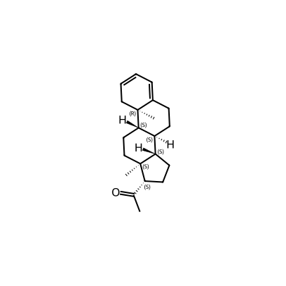 CC(=O)[C@H]1CC[C@H]2[C@@H]3CCC4=CC=CC[C@]4(C)[C@H]3CC[C@]12C